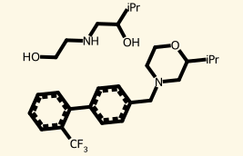 CC(C)C(O)CNCCO.CC(C)C1CN(Cc2ccc(-c3ccccc3C(F)(F)F)cc2)CCO1